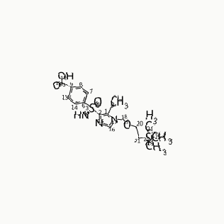 Cc1c(S(=N)(=O)c2ccc(C(=O)O)cc2)ncn1COCC[Si](C)(C)C